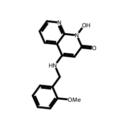 COc1ccccc1CNc1cc(=O)n(O)c2ncccc12